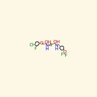 OC(COc1ccc(Cl)c(F)c1)NC12CC(C(O)NCc3ccc(OC(F)F)cc3)(C1)C2